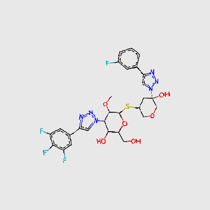 COC1C(SC2COCC(O)(n3cc(-c4cccc(F)c4)nn3)C2)OC(CO)C(O)C1n1cc(-c2cc(F)c(F)c(F)c2)nn1